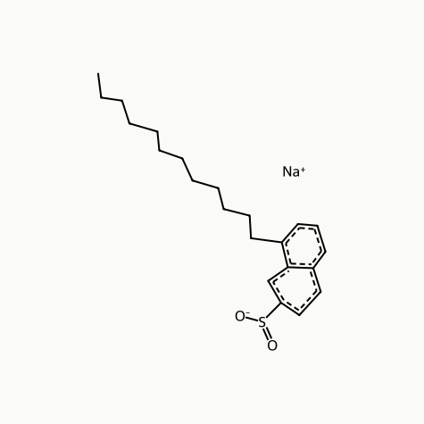 CCCCCCCCCCCCc1cccc2ccc(S(=O)[O-])cc12.[Na+]